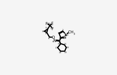 Cn1ccc(/C(=N\OCC2CC2C(F)(F)F)C2CCCCC2)n1